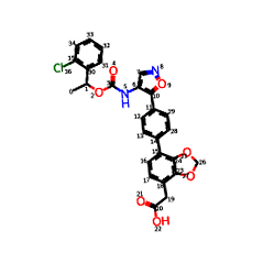 CC(OC(=O)Nc1cnoc1-c1ccc(-c2ccc(CC(=O)O)c3c2OCO3)cc1)c1ccccc1Cl